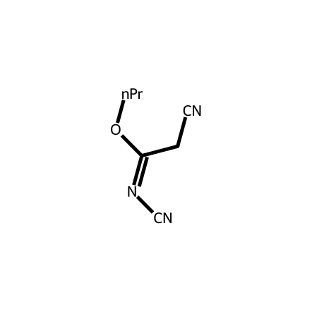 CCCO/C(CC#N)=N/C#N